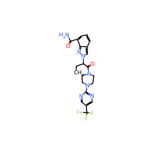 CCC(C(=O)N1CCN(c2ncc(C(F)(F)F)cn2)CC1)n1cc2cccc(C(N)=O)c2n1